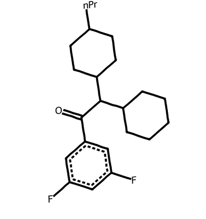 CCCC1CCC(C(C(=O)c2cc(F)cc(F)c2)C2CCCCC2)CC1